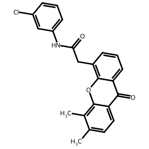 Cc1ccc2c(=O)c3cccc(CC(=O)Nc4cccc(Cl)c4)c3oc2c1C